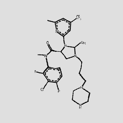 Cc1cc(C(F)(F)F)cc(N2C(O)N(CCCN3CCNCC3)C[C@H]2C(=O)N(C)c2ccc(F)c(Cl)c2F)n1